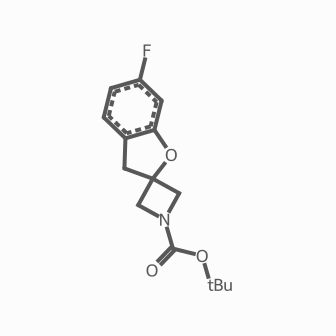 CC(C)(C)OC(=O)N1CC2(Cc3ccc(F)cc3O2)C1